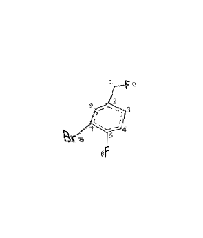 FCc1ccc(F)c(Br)c1